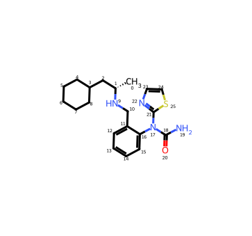 C[C@@H](CC1CCCCC1)NCc1ccccc1N(C(N)=O)c1nccs1